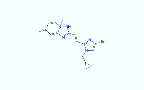 CN1C=C[N+]2(C)NC(/C=C/c3nc(Br)cn3CC3CC3)=NC2=C1